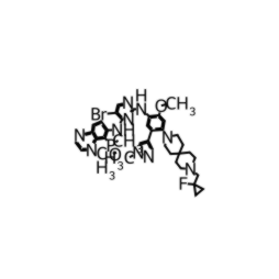 COc1cc(N2CCC3(CCN(CC4(F)CC4)CC3)CC2)c(-c2cnn(C)c2)cc1Nc1ncc(Br)c(Nc2ccc3nccnc3c2P(C)(C)=O)n1